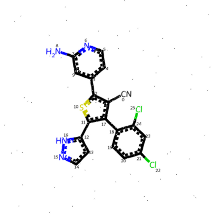 N#Cc1c(-c2ccnc(N)c2)sc(-c2ccn[nH]2)c1-c1ccc(Cl)cc1Cl